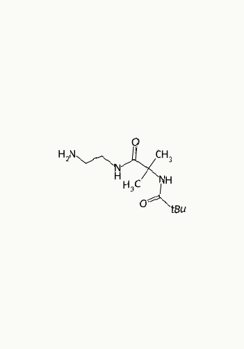 CC(C)(C)C(=O)NC(C)(C)C(=O)NCCN